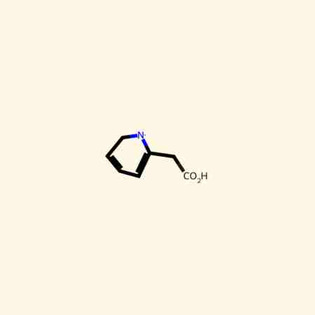 O=C(O)CC1=CC=CC[N]1